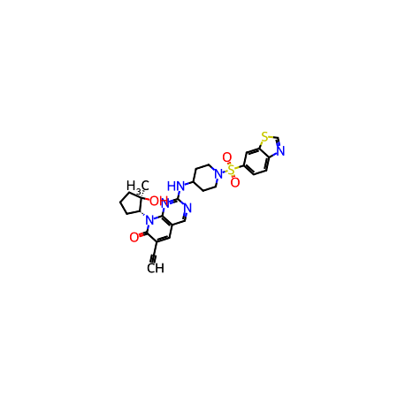 C#Cc1cc2cnc(NC3CCN(S(=O)(=O)c4ccc5ncsc5c4)CC3)nc2n([C@@H]2CCC[C@@]2(C)O)c1=O